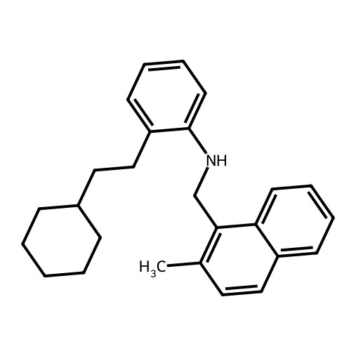 Cc1ccc2ccccc2c1CNc1ccccc1CCC1CCCCC1